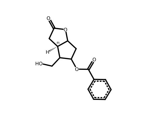 O=C1C[C@H]2C(CC(OC(=O)c3ccccc3)C2CO)O1